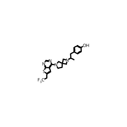 CC(Cc1ccc(O)cc1)N1CC2(CCN(c3ncnc4sc(CC(F)(F)F)cc34)C2)C1